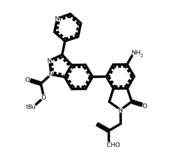 C=C(C=O)CN1Cc2c(cc(N)cc2-c2ccc3c(c2)c(-c2cccnc2)nn3C(=O)OC(C)(C)C)C1=O